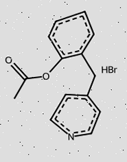 Br.CC(=O)Oc1ccccc1Cc1ccncc1